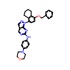 c1ccc(COc2ccc(-n3ncc4cnc(Nc5ccc(N6CCOCC6)cc5)nc43)c3c2CCCC3)cc1